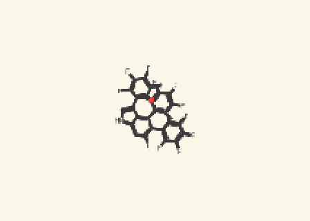 Fc1c(F)c(F)c(-c2c(Cl)cc3[nH][c]c(-c4c(F)c(F)c(F)c(F)c4F)c3c2-c2c(F)c(F)c(F)c(F)c2F)c(F)c1F